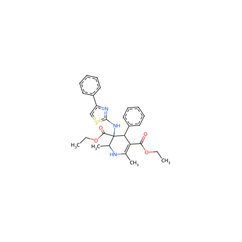 CCOC(=O)C1=C(C)NC(C)C(Nc2nc(-c3ccccc3)cs2)(C(=O)OCC)C1c1ccccc1